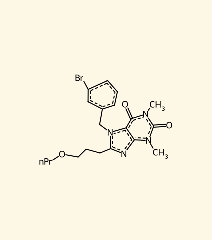 CCCOCCCc1nc2c(c(=O)n(C)c(=O)n2C)n1Cc1cccc(Br)c1